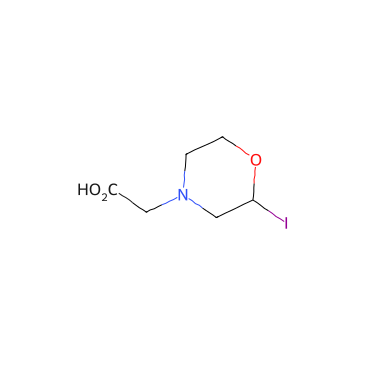 O=C(O)CN1CCOC(I)C1